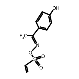 C=CS(=O)(=O)ON=C(c1ccc(O)cc1)C(F)(F)F